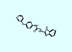 O=C(CNc1nc2ccccc2[nH]1)Nc1ccc(Oc2cccnc2)cc1